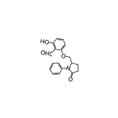 O=Cc1c(O)cccc1OCC1CCC(=O)N1c1ccccc1